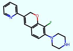 Fc1c(N2CCNCC2)ccc2c1OCC(c1ccccn1)=C2